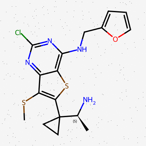 CSc1c(C2([C@H](C)N)CC2)sc2c(NCc3ccco3)nc(Cl)nc12